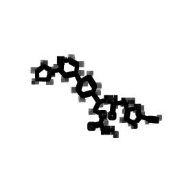 C#Cc1nc(NC(=O)NC(COC(N)=O)c2ccc(-c3ccnc(N4CCCC4)c3)cc2)cs1